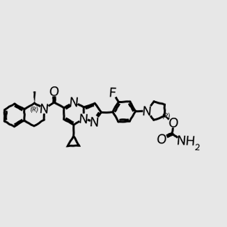 C[C@@H]1c2ccccc2CCN1C(=O)c1cc(C2CC2)n2nc(-c3ccc(N4CC[C@@H](OC(N)=O)C4)cc3F)cc2n1